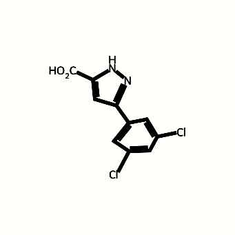 O=C(O)c1cc(-c2cc(Cl)cc(Cl)c2)n[nH]1